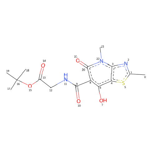 Cc1nc2c(s1)c(O)c(C(=O)NCC(=O)OC(C)(C)C)c(=O)n2C